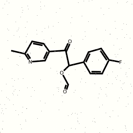 Cc1ccc(C(=O)C(OC=O)c2ccc(F)cc2)cn1